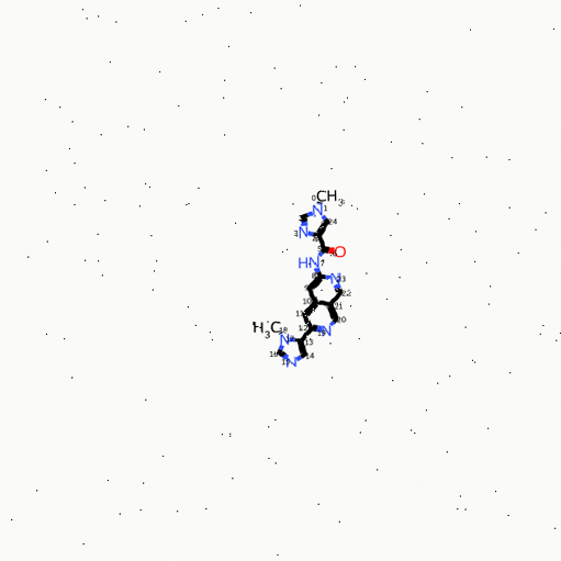 Cn1cnc(C(=O)Nc2cc3cc(-c4cncn4C)ncc3cn2)c1